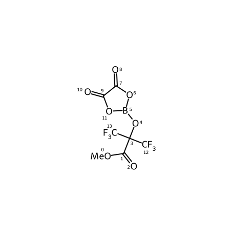 COC(=O)C(OB1OC(=O)C(=O)O1)(C(F)(F)F)C(F)(F)F